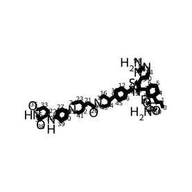 CCC(c1cccc(-c2nc(-c3ccc(C4CCN(C(=O)CC5CCN(c6ccc(NC7CCC(=O)NC7=O)cc6)CC5)CC4)cc3)sc2-c2ccnc(N)n2)c1F)S(N)(=O)=O